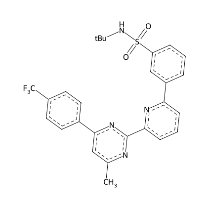 Cc1cc(-c2ccc(C(F)(F)F)cc2)nc(-c2cccc(-c3cccc(S(=O)(=O)NC(C)(C)C)c3)n2)n1